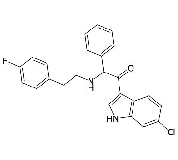 O=C(c1c[nH]c2cc(Cl)ccc12)C(NCCc1ccc(F)cc1)c1ccccc1